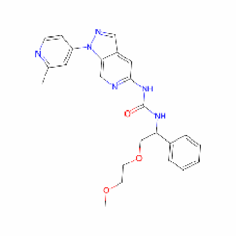 COCCOCC(NC(=O)Nc1cc2cnn(-c3ccnc(C)c3)c2cn1)c1ccccc1